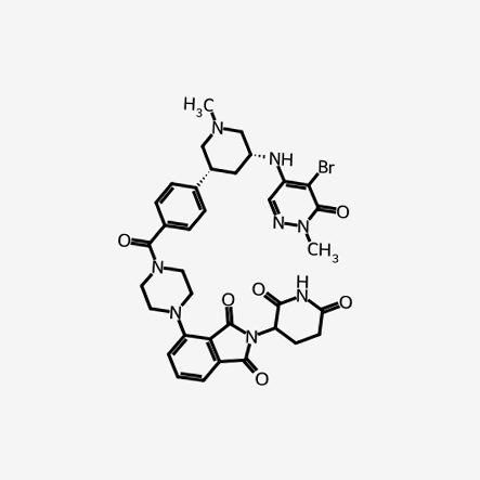 CN1C[C@H](Nc2cnn(C)c(=O)c2Br)C[C@H](c2ccc(C(=O)N3CCN(c4cccc5c4C(=O)N(C4CCC(=O)NC4=O)C5=O)CC3)cc2)C1